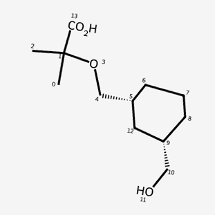 CC(C)(OC[C@@H]1CCC[C@H](CO)C1)C(=O)O